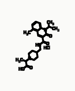 Cc1cccc2c1cc(C(=O)NCC1CCN(C(C)C(=O)O)CC1)c(=O)n2C(C)C.Cl